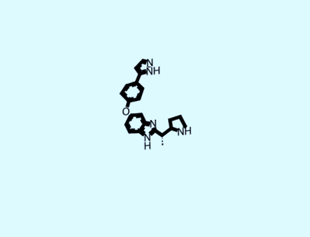 C[C@H](c1nc2cc(Oc3ccc(-c4ccn[nH]4)cc3)ccc2[nH]1)C1CCCN1